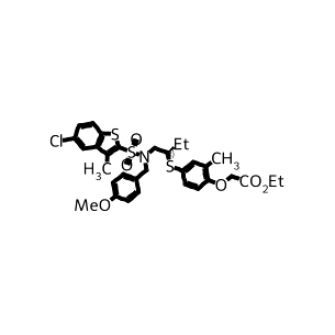 CCOC(=O)COc1ccc(S[C@H](CC)CN(Cc2ccc(OC)cc2)S(=O)(=O)c2sc3ccc(Cl)cc3c2C)cc1C